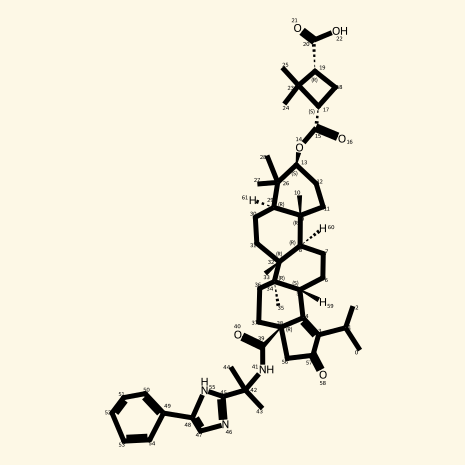 CC(C)C1=C2[C@H]3CC[C@@H]4[C@@]5(C)CC[C@H](OC(=O)[C@H]6C[C@@H](C(=O)O)C6(C)C)C(C)(C)[C@@H]5CC[C@@]4(C)[C@]3(C)CC[C@@]2(C(=O)NC(C)(C)c2ncc(-c3ccccc3)[nH]2)CC1=O